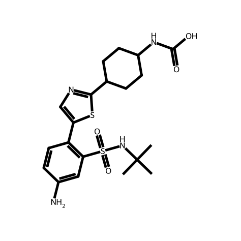 CC(C)(C)NS(=O)(=O)c1cc(N)ccc1-c1cnc(C2CCC(NC(=O)O)CC2)s1